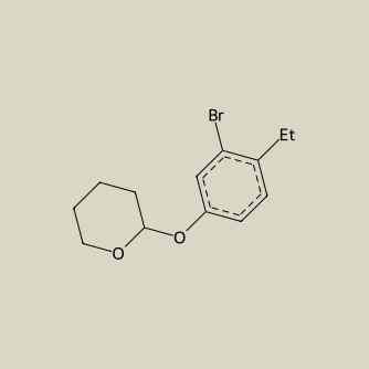 CCc1ccc(OC2CCCCO2)cc1Br